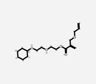 C=CCOCC(=C)C(=O)OCCOCCOC1CCCCC1